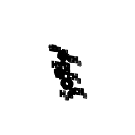 C[C@@H]1C[C@H](N(C)C)CC[C@@H]1N1CCC(NC(=O)c2cc(C(C)(C)C)nn2C)C1=O